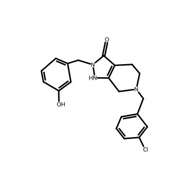 O=c1c2c([nH]n1Cc1cccc(O)c1)CN(Cc1cccc(Cl)c1)CC2